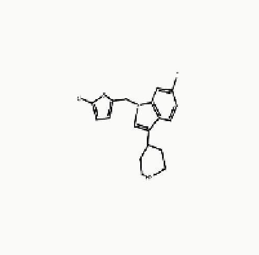 Fc1ccc2c(C3CCNCC3)cn(Cc3ccc(Cl)s3)c2c1